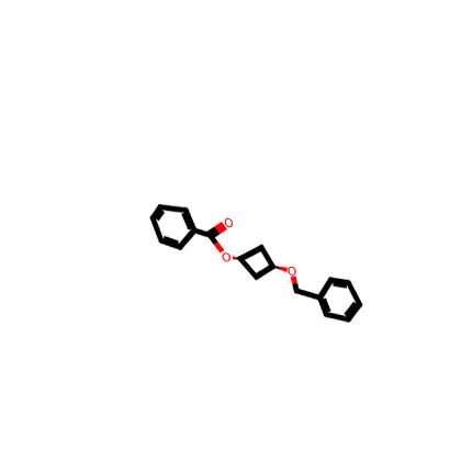 O=C(O[C@H]1C[C@H](OCc2ccccc2)C1)c1ccccc1